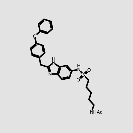 CC(=O)NCCCCCS(=O)(=O)Nc1ccc2nc(Cc3ccc(Oc4ccccc4)cc3)[nH]c2c1